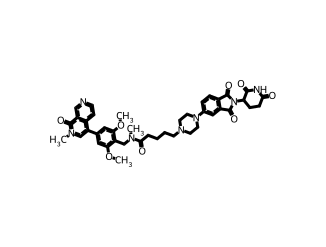 COc1cc(-c2cn(C)c(=O)c3cnccc23)cc(OC)c1CN(C)C(=O)CCCCN1CCN(c2ccc3c(c2)C(=O)N(C2CCC(=O)NC2=O)C3=O)CC1